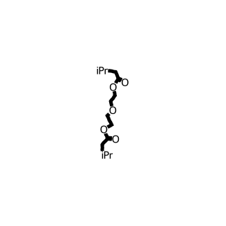 CC(C)CC(=O)OCCOCCOC(=O)CC(C)C